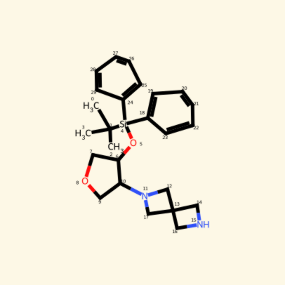 CC(C)(C)[Si](OC1COCC1N1CC2(CNC2)C1)(c1ccccc1)c1ccccc1